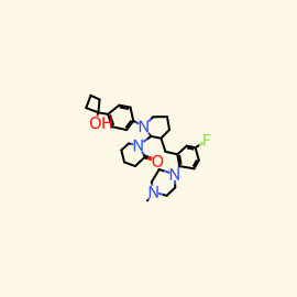 CN1CCN(c2ccc(F)cc2CC2CCCN(c3ccc(C4(O)CCC4)cc3)C2N2CCCCC2=O)CC1